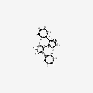 c1ccc(-c2nocc2-c2cnoc2-c2ccccc2)cc1